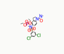 CCOP(=O)(CN(c1ccc2c(c1)CCN2C(=O)N(C)C)S(=O)(=O)c1cc(Cl)cc(Cl)c1)OCC